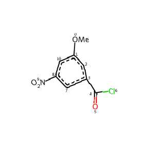 COc1cc(C(=O)Cl)cc([N+](=O)[O-])c1